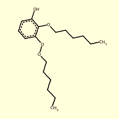 CCCCCCOOc1cccc(O)c1OCCCCCC